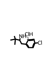 CC(C)(C)C(N)Cc1ccc(Cl)cc1.Cl